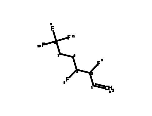 C=CC(F)C(F)CCC(F)(F)F